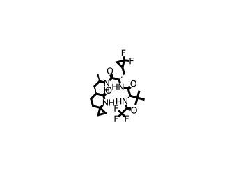 C[C@H](C[C@@H]1CCC2(CC2)NC1=O)NC(=O)[C@H](CC1CC1(F)F)NC(=O)[C@@H](NC(=O)C(F)(F)F)C(C)(C)C